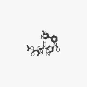 Cc1nc(NC(=O)C[C@@H](CC#N)N(C=O)c2cccc(-c3cnn(C)c3)c2)sc1C(=O)OC(C)C